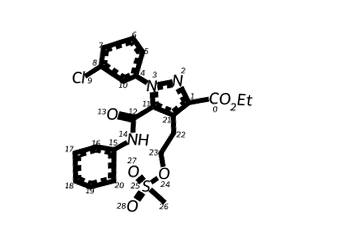 CCOC(=O)c1nn(-c2cccc(Cl)c2)c(C(=O)Nc2ccccc2)c1CCOS(C)(=O)=O